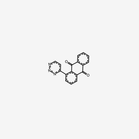 O=C1c2ccccc2C(=O)c2c1cccc2-c1ccnnn1